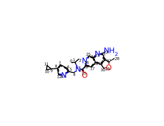 CC(C)N(Cc1ccc(C2CC2)cn1)C(=O)c1cc2c3c(c(N)nc2cn1)[C@@H](C)OC3